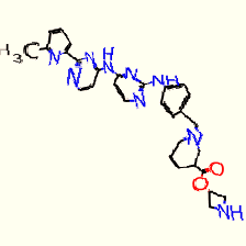 Cc1cccc(-c2nccc(Nc3ccnc(Nc4ccc(CN5CCCC(C(=O)OC6CNC6)C5)cc4)n3)n2)n1